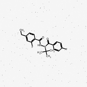 CCc1ccc(C(=O)NN(C(=O)c2ccc(F)cc2)C(C)(C)C)c(F)c1